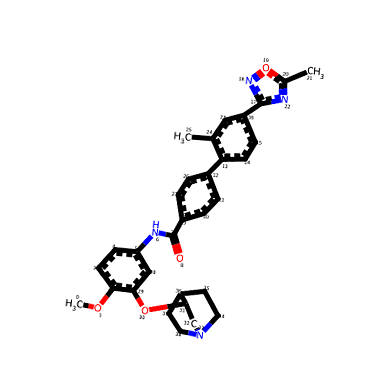 COc1ccc(NC(=O)c2ccc(-c3ccc(-c4noc(C)n4)cc3C)cc2)cc1OC1CN2CCC1CC2